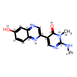 CC(C)Nc1ncc(-c2cnc3cc(O)ccc3n2)c(=O)n1C